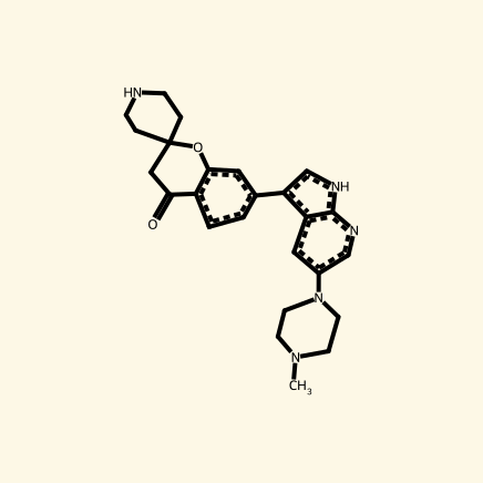 CN1CCN(c2cnc3[nH]cc(-c4ccc5c(c4)OC4(CCNCC4)CC5=O)c3c2)CC1